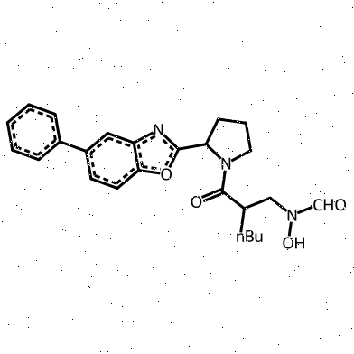 CCCCC(CN(O)C=O)C(=O)N1CCCC1c1nc2cc(-c3ccccc3)ccc2o1